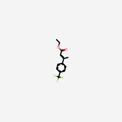 CCOC(=O)C=C(C)c1ccc(C(F)(F)F)cc1